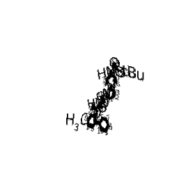 Cc1ccc(C2CCCCC2)c(OC2(C(=O)NS(=O)(=O)c3cccc(N4CCC(NC(=O)OC(C)(C)C)CC4)n3)CC2)c1